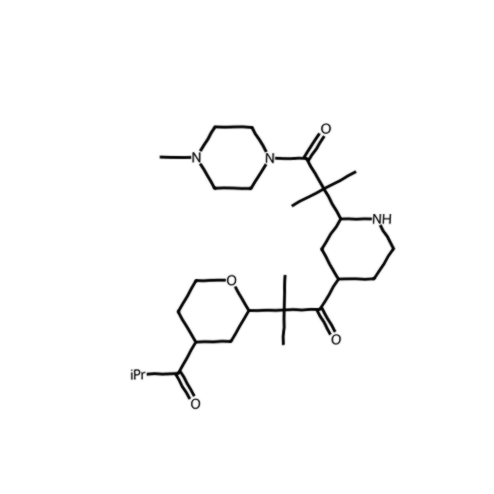 CC(C)C(=O)C1CCOC(C(C)(C)C(=O)C2CCNC(C(C)(C)C(=O)N3CCN(C)CC3)C2)C1